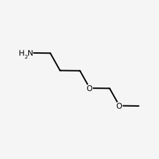 COCOCCCN